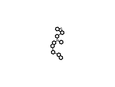 c1ccc(N(c2cccc(-c3cccc4sc5ccccc5c34)c2)c2ccc3ccc(-c4cccc(-c5ccc6ccccc6c5)c4)cc3c2)cc1